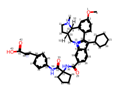 COc1ccc2c(c1)[C@@H]1[C@@H](CCN1C)Cn1c-2c(C2CCCCC2)c2ccc(C(=O)NC3(C(=O)Nc4ccc(/C=C/C(=O)O)cc4)CCCC3)cc21